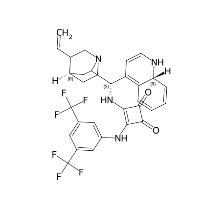 C=CC1CN2CC[C@@H]1CC2[C@@H](Nc1c(Nc2cc(C(F)(F)F)cc(C(F)(F)F)c2)c(=O)c1=O)C1=C2C=CC=C[C@H]2NC=C1